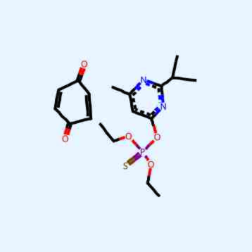 CCOP(=S)(OCC)Oc1cc(C)nc(C(C)C)n1.O=C1C=CC(=O)C=C1